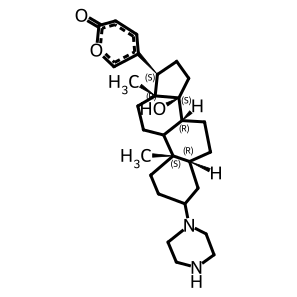 C[C@]12CCC(N3CCNCC3)C[C@H]1CC[C@@H]1C2CC[C@]2(C)[C@@H](c3ccc(=O)oc3)CC[C@]12O